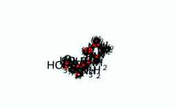 NC(=O)c1ccccc1S(=O)(=O)O.NC(=O)c1ccccc1S(=O)(=O)O.NC(=O)c1ccccc1S(=O)(=O)O.NC(=O)c1ccccc1S(=O)(=O)O.c1ccc2c(c1)-c1nc-2nc2[nH]c(nc3nc(nc4[nH]c(n1)c1ccccc41)-c1ccccc1-3)c1ccccc21